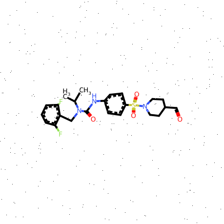 CC(C)N(Cc1c(F)cccc1F)C(=O)Nc1ccc(S(=O)(=O)N2CCC(C=O)CC2)cc1